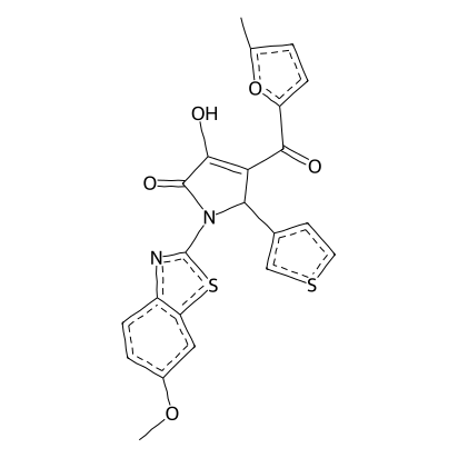 COc1ccc2nc(N3C(=O)C(O)=C(C(=O)c4ccc(C)o4)C3c3ccsc3)sc2c1